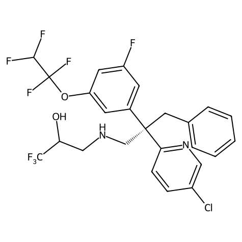 OC(CNC[C@@](Cc1ccccc1)(c1cc(F)cc(OC(F)(F)C(F)F)c1)c1ccc(Cl)cn1)C(F)(F)F